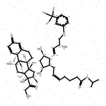 CC(C)OC(=O)CCC/C=C\C[C@@H]1[C@@H](/C=C/[C@@H](O)COc2cccc(C(F)(F)F)c2)[C@H](O)C[C@@H]1O.C[C@@H]1C[C@H]2[C@@H]3CCC4=CC(=O)C=C[C@]4(C)[C@@]3(F)[C@@H](O)C[C@]2(C)[C@@]1(O)C(=O)CO